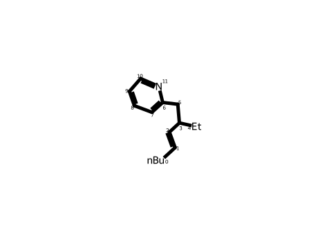 CCCC/C=C/C(CC)Cc1ccccn1